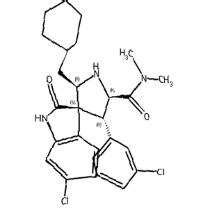 CN(C)C(=O)[C@@H]1N[C@H](CC2CCCCC2)[C@]2(C(=O)Nc3cc(Cl)ccc32)[C@H]1c1cccc(Cl)c1